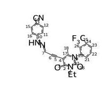 CCn1c(=O)c(C#CC=NNc2ccc(C#N)cc2)c(C)n(-c2cccc(C(F)(F)F)c2)c1=O